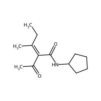 CC/C(C)=C(/C(C)=O)C(=O)NC1CCCC1